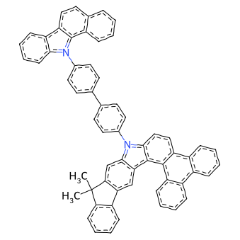 CC1(C)c2ccccc2-c2cc3c4c5c6ccccc6c6ccccc6c5ccc4n(-c4ccc(-c5ccc(-n6c7ccccc7c7ccc8ccccc8c76)cc5)cc4)c3cc21